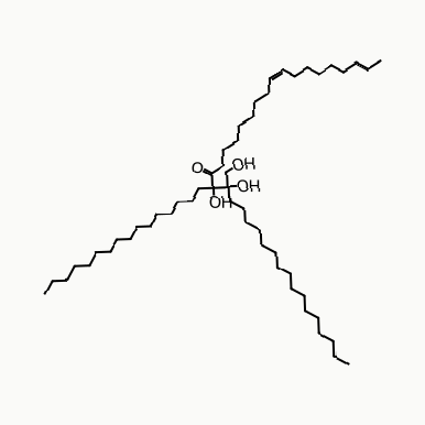 CCCCCCCC/C=C\CCCCCCCC(=O)C(O)(CCCCCCCCCCCCCCCC)C(O)(CO)CCCCCCCCCCCCCCCC